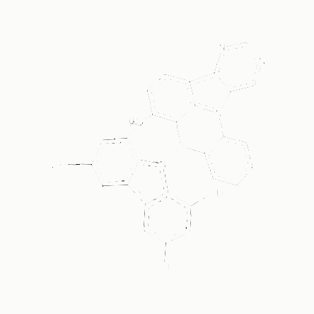 Cc1cc(C)c2c(c1)c1cc(C)cc(C)c1n2B1c2ccccc2-n2c3cncnc3c3ccc(C(C)(C)C)c1c32